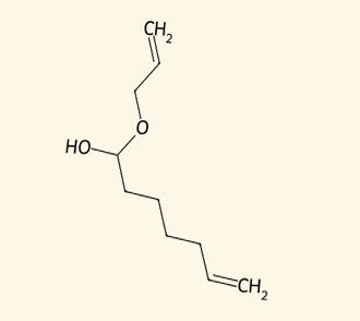 C=CCCCCC(O)OCC=C